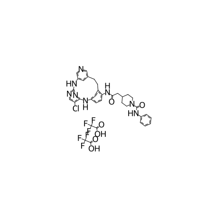 O=C(CC1CCN(C(=O)Nc2ccccc2)CC1)Nc1ccc2cc1CCc1cncc(c1)Nc1ncc(Cl)c(n1)N2.O=C(O)C(F)(F)F.O=C(O)C(F)(F)F